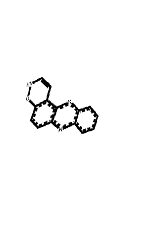 C1=Cc2c(ccc3nc4ccccc4nc23)ON1